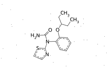 CCC(CC)Oc1ccccc1N(C(N)=O)c1nccs1